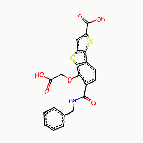 O=C(O)COc1c(C(=O)NCc2ccccc2)ccc2c1sc1cc(C(=O)O)sc12